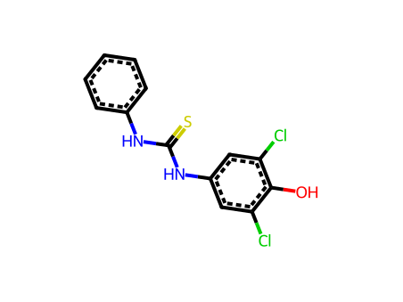 Oc1c(Cl)cc(NC(=S)Nc2ccccc2)cc1Cl